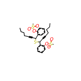 CCCCC#CC(SC(C#CCCCC)c1ccccc1OS(C)(=O)=O)c1ccccc1OS(C)(=O)=O